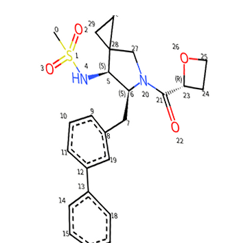 CS(=O)(=O)N[C@@H]1[C@H](Cc2cccc(-c3ccccc3)c2)N(C(=O)[C@H]2CCO2)CC12CC2